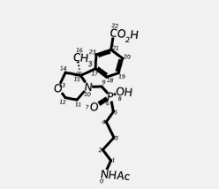 CC(=O)NCCCCCP(=O)(O)CN1CCOC[C@@]1(C)c1cccc(C(=O)O)c1